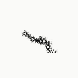 COc1ccc(Nc2ccc3c(O)c(N=Nc4ccc(N=Nc5ccccc5)cc4)ccc3c2)cc1